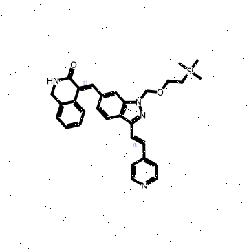 C[Si](C)(C)CCOCn1nc(/C=C/c2ccncc2)c2ccc(/C=C3/C(=O)NCc4ccccc43)cc21